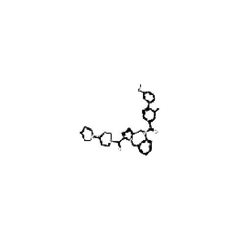 COc1cccc(-c2ccc(C(=O)N3Cc4ccc(C(=O)N5CCC(N6CCCCC6)CC5)n4Cc4ccccc43)cc2C)c1